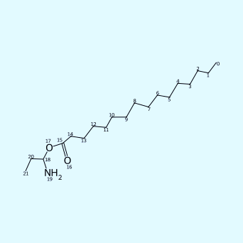 CCCCCCCCCCCCCCCC(=O)OC(N)CC